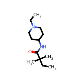 CCN1CCC(NC(=O)C(C)(C)CC)CC1